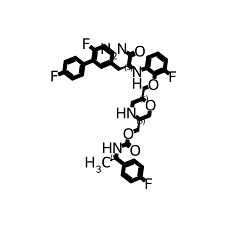 C[C@H](NC(=O)OC[C@@H]1CO[C@H](COc2c(F)cccc2N[C@@H](Cc2ccc(F)c(-c3ccc(F)cc3)c2)C(N)=O)CN1)c1ccc(F)cc1